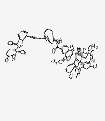 COc1cc(C(=O)N[C@@H]2CCCN(CC#Cc3cccc4c3CN(C3CCC(=O)NC3=O)C4=O)C2)ccc1NC(=O)[C@@H]1N[C@@H](CC(C)(C)C)[C@@]2(CNc3cc(Cl)ccc32)[C@H]1c1cccc(Cl)c1F